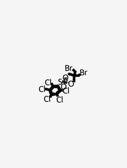 O=P1(Sc2c(Cl)c(Cl)c(Cl)c(Cl)c2Cl)OCC(CBr)(CBr)CO1